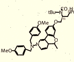 COc1ccc(CN(Cc2ccc(OC)cc2)N2C=CC3C(=C2)c2ccc(OC[C@H](CC(C)C)N(C(=O)O)C(C)(C)C)cc2OC3C)cc1